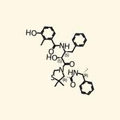 Cc1c(O)cccc1C(=O)N[C@@H](Cc1ccccc1)[C@H](O)C(=O)N1CSC(C)(C)[C@H]1C(=O)N[C@H](C)c1ccccc1